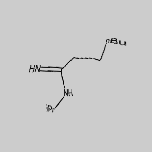 CCCCCCC(=N)NC(C)C